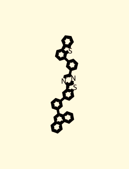 c1cc(-c2ccc3sc4nc(-c5cccc(-c6cccc7c6sc6ccccc67)c5)cnc4c3c2)cc(-c2cc3ccccc3c3ccccc23)c1